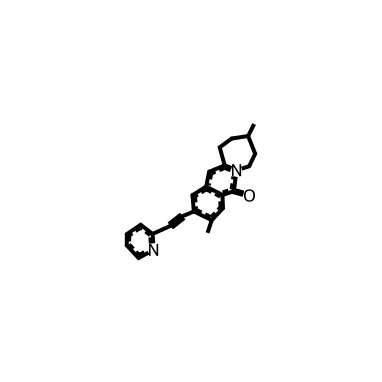 Cc1cc2c(=O)n3c(cc2cc1C#Cc1ccccn1)CCC(C)CC3